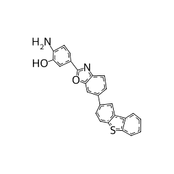 Nc1ccc(-c2nc3ccc(-c4ccc5sc6ccccc6c5c4)cc3o2)cc1O